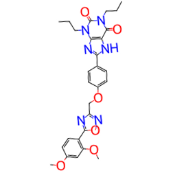 CCCn1c(=O)c2[nH]c(-c3ccc(OCc4noc(-c5ccc(OC)cc5OC)n4)cc3)nc2n(CCC)c1=O